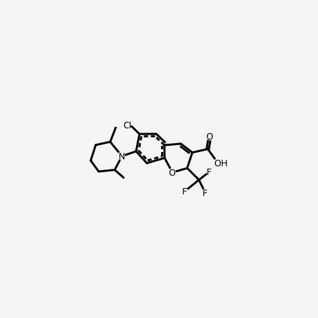 CC1CCCC(C)N1c1cc2c(cc1Cl)C=C(C(=O)O)C(C(F)(F)F)O2